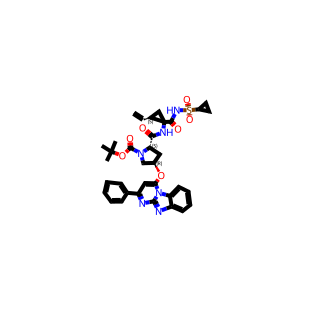 C=C[C@@H]1CC1(NC(=O)[C@@H]1C[C@@H](Oc2cc(-c3ccccc3)nc3nc4ccccc4n23)CN1C(=O)OC(C)(C)C)C(=O)NS(=O)(=O)C1CC1